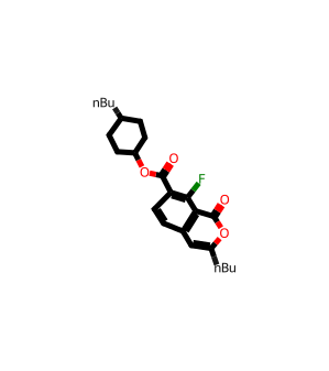 CCCCc1cc2ccc(C(=O)OC3CCC(CCCC)CC3)c(F)c2c(=O)o1